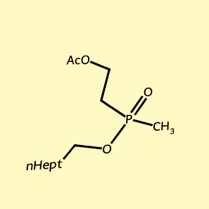 CCCCCCCCOP(C)(=O)CCOC(C)=O